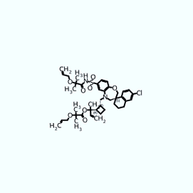 C=CCOC(C)(C)C(=O)NS(=O)(=O)c1ccc2c(c1)N(C[C@@H]1CC[C@H]1C(C)(C=C)OC(=O)C(C)(C)OCC=C)C[C@@]1(CCCc3cc(Cl)ccc31)CO2